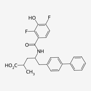 CC(CC(Cc1ccc(-c2ccccc2)cc1)NC(=O)c1ccc(F)c(O)c1F)C(=O)O